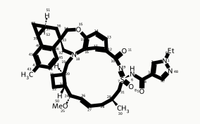 CCn1cc(C(=O)N[S@@]2(=O)=NC(=O)c3ccc4c(c3)N(C[C@@H]3CC[C@H]3[C@@H](OC)/C=C/C[C@H](C)C2)C[C@]2(CO4)C[C@@H]3C[C@@H]3c3cc(C)ccc32)cn1